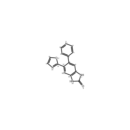 O=c1[nH]c2cc(-c3ccncc3)c(-c3ncco3)nc2[nH]1